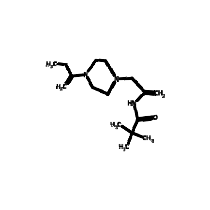 C=C(CN1CCN(C(=C)CC)CC1)NC(=O)C(C)(C)C